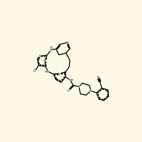 N#Cc1ccccc1N1CCN(C(=O)Nc2ccc3cc2CCC2C=NC=C(C2)Nc2ncc(Cl)c(n2)N3)CC1